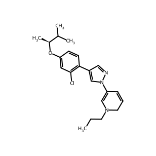 CCCN1C=C(n2cc(-c3ccc(O[C@@H](C)C(C)C)cc3Cl)cn2)C=CC1